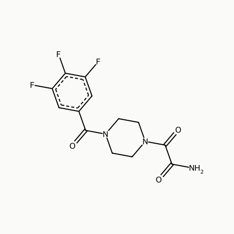 NC(=O)C(=O)N1CCN(C(=O)c2cc(F)c(F)c(F)c2)CC1